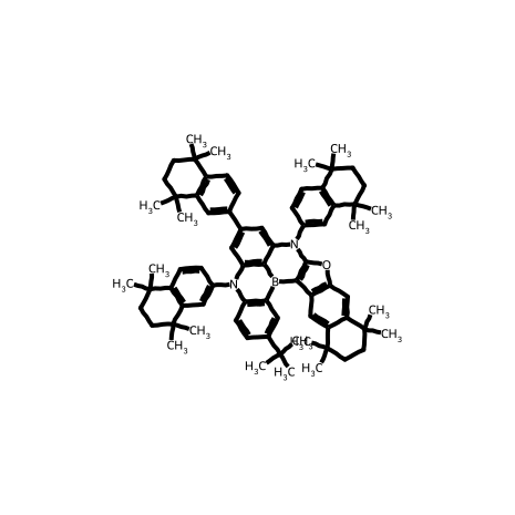 CC(C)(C)c1ccc2c(c1)B1c3c(cc(-c4ccc5c(c4)C(C)(C)CCC5(C)C)cc3N(c3ccc4c(c3)C(C)(C)CCC4(C)C)c3oc4cc5c(cc4c31)C(C)(C)CCC5(C)C)N2c1ccc2c(c1)C(C)(C)CCC2(C)C